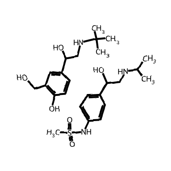 CC(C)(C)NCC(O)c1ccc(O)c(CO)c1.CC(C)NCC(O)c1ccc(NS(C)(=O)=O)cc1